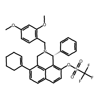 COc1ccc(CN2Cc3c(C4=CCCCC4)ccc4ccc(OS(=O)(=O)C(F)(F)F)c(c34)[C@H]2c2ccccc2)c(OC)c1